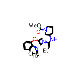 CC/C=C(/NC1CCCN(C(=O)OC)C1)N1CC(Oc2cccc(C)c2/N=C\CCC)C1